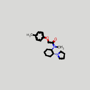 Cc1ccc(OCC(=O)N(C)[C@@H]2CCCC[C@H]2N2CCCC2)cc1